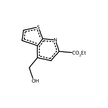 CCOC(=O)c1cc(CO)c2ccsc2n1